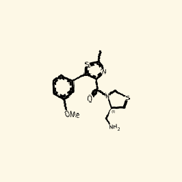 COc1cccc(-c2sc(C)nc2C(=O)N2CSC[C@H]2CN)c1